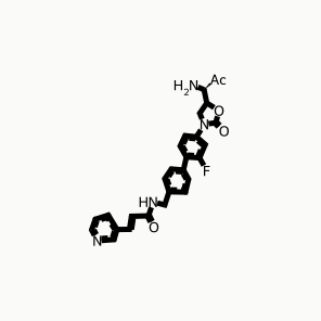 CC(=O)[C@@H](N)C1CN(c2ccc(-c3ccc(CNC(=O)/C=C/c4cccnc4)cc3)c(F)c2)C(=O)O1